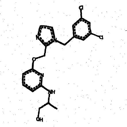 CC(CO)Nc1cccc(OCc2nccn2Cc2cc(Cl)cc(Cl)c2)n1